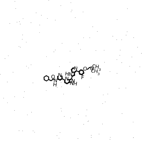 CN(C)CCOc1cc(F)cc(-c2nccc3[nH]c(-c4n[nH]c5ccc(-c6cncc(NC(=O)CC7CCCCC7)c6)nc45)cc23)c1